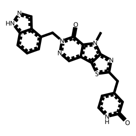 Cn1c2nc(Cc3cc[nH]c(=O)c3)sc2c2cnn(Cc3cccc4[nH]ncc34)c(=O)c21